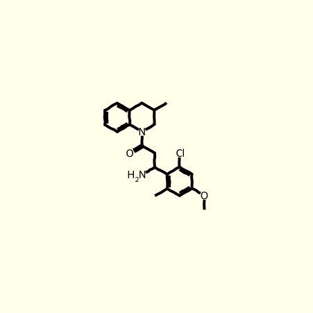 COc1cc(C)c(C(N)CC(=O)N2CC(C)Cc3ccccc32)c(Cl)c1